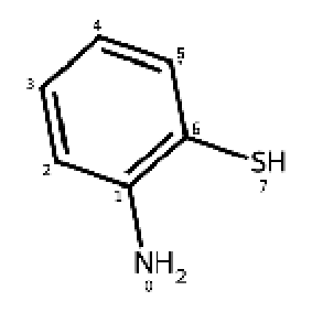 Nc1ccc[c]c1S